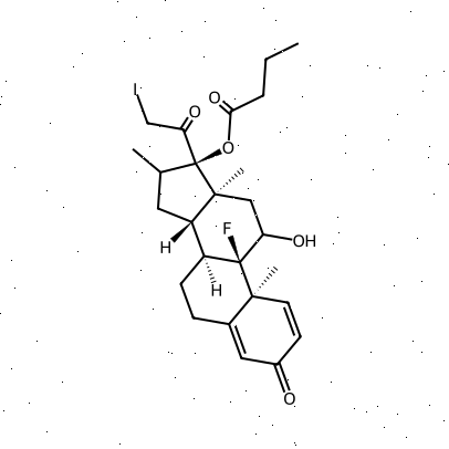 CCCC(=O)O[C@]1(C(=O)CI)C(C)C[C@H]2[C@@H]3CCC4=CC(=O)C=C[C@]4(C)[C@@]3(F)C(O)C[C@@]21C